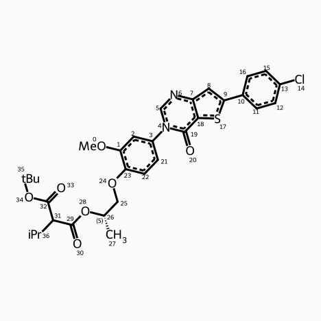 COc1cc(-n2cnc3cc(-c4ccc(Cl)cc4)sc3c2=O)ccc1OC[C@H](C)OC(=O)C(C(=O)OC(C)(C)C)C(C)C